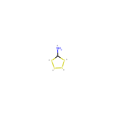 NC1SSSS1